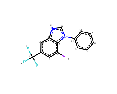 FC(F)(F)c1cc(I)c2c(c1)ncn2-c1ccccc1